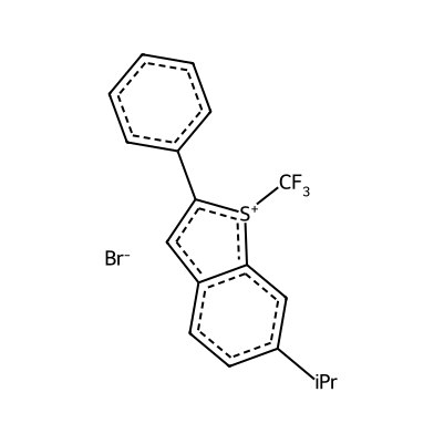 CC(C)c1ccc2cc(-c3ccccc3)[s+](C(F)(F)F)c2c1.[Br-]